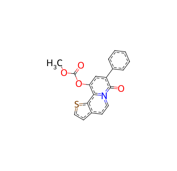 COC(=O)Oc1cc(-c2ccccc2)c(=O)n2ccc3ccsc3c12